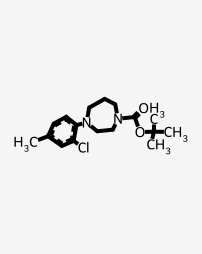 Cc1ccc(N2CCCN(C(=O)OC(C)(C)C)CC2)c(Cl)c1